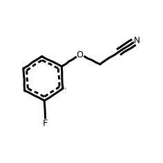 N#CCOc1[c]c(F)ccc1